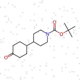 CC(C)(C)OC(=O)N1CCC(C2CCC(=O)CC2)CC1